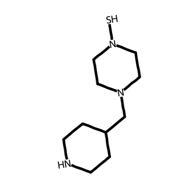 SN1CCN(CC2CCNCC2)CC1